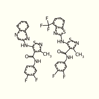 Cc1nsc(Nc2cnc3ccccc3n2)c1C(=O)Nc1ccc(F)c(F)c1.Cc1nsc(Nc2nc3c(C(F)(F)F)cccc3s2)c1C(=O)Nc1ccc(F)c(F)c1